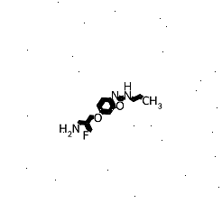 CCCNc1nc2ccc(OCC(=CF)CN)cc2o1